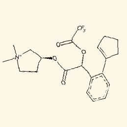 C[N+]1(C)CC[C@H](OC(=O)C(OC(=O)C(F)(F)F)c2ccccc2C2=CCCC2)C1